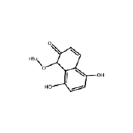 CCCCOC1C(=O)C=Cc2c(O)ccc(O)c21